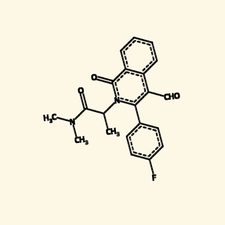 CC(C(=O)N(C)C)n1c(-c2ccc(F)cc2)c(C=O)c2ccccc2c1=O